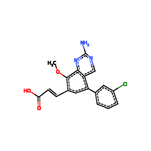 COc1c(/C=C/C(=O)O)cc(-c2cccc(Cl)c2)c2cnc(N)nc12